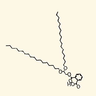 CCCCCCCCCCCCCCCCCCOC(COC(=O)c1ccccc1C(=O)O)OCCCCCCCCCCCCCCCCCC